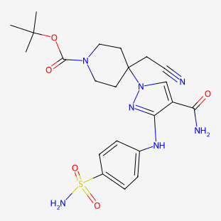 CC(C)(C)OC(=O)N1CCC(CC#N)(n2cc(C(N)=O)c(Nc3ccc(S(N)(=O)=O)cc3)n2)CC1